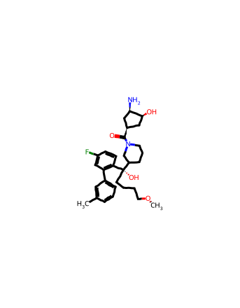 COCCCC[C@@](O)(c1ccc(F)cc1-c1cccc(C)c1)C1CCCN(C(=O)[C@H]2C[C@@H](N)[C@@H](O)C2)C1